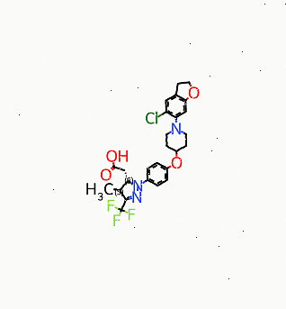 C[C@@H]1C(C(F)(F)F)=NN(c2ccc(OC3CCN(c4cc5c(cc4Cl)CCO5)CC3)cc2)[C@H]1CC(=O)O